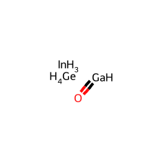 [GeH4].[InH3].[O]=[GaH]